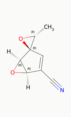 C[C@H]1O[C@]12C=C(C#N)[C@H]1O[C@H]12